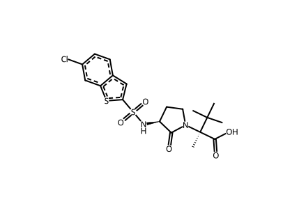 CC(C)(C)[C@@](C)(C(=O)O)N1CC[C@H](NS(=O)(=O)c2cc3ccc(Cl)cc3s2)C1=O